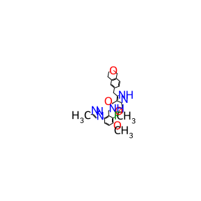 COCc1n[nH]c(Cc2ccc3c(c2)CCOC3)c1C(=O)NCc1c(-n2cc(C)nn2)ccc(OC)c1F